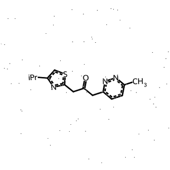 Cc1ccc(CC(=O)Cc2nc(C(C)C)cs2)nn1